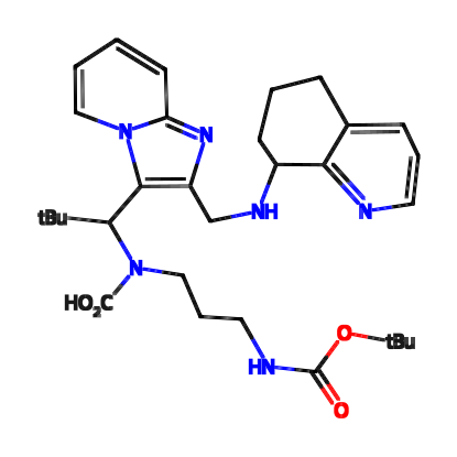 CC(C)(C)OC(=O)NCCCN(C(=O)O)C(c1c(CNC2CCCc3cccnc32)nc2ccccn12)C(C)(C)C